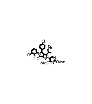 COc1ncc(-n2nc3c(c2C(C)CN(C)C)C(c2ccc(Cl)cc2)N(c2cccc(Cl)c2F)C3=O)c(OC)n1